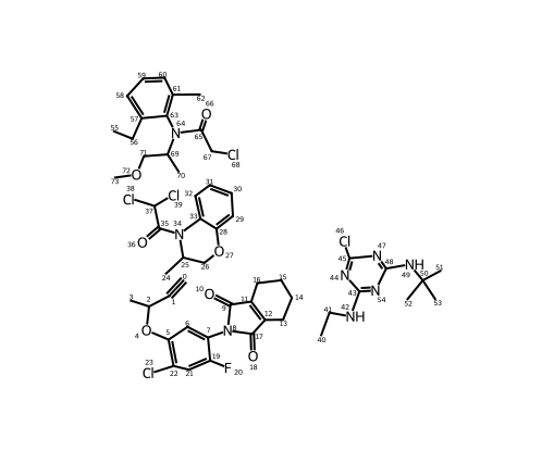 C#CC(C)Oc1cc(N2C(=O)C3=C(CCCC3)C2=O)c(F)cc1Cl.CC1COc2ccccc2N1C(=O)C(Cl)Cl.CCNc1nc(Cl)nc(NC(C)(C)C)n1.CCc1cccc(C)c1N(C(=O)CCl)C(C)COC